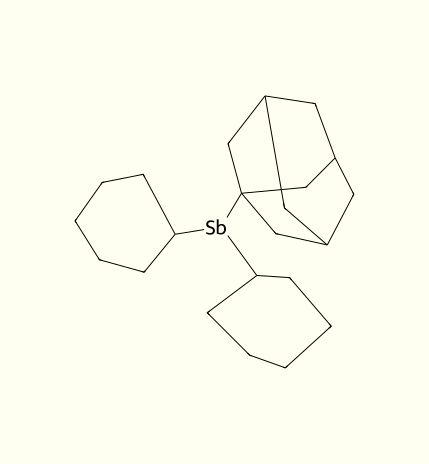 C1CC[CH]([Sb]([CH]2CCCCC2)[C]23CC4CC(CC(C4)C2)C3)CC1